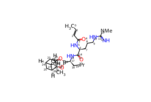 C/C=C/C(=O)N[C@@H](CCCNC(=N)NC)C(=O)N[C@@H](CC(C)C)B1O[C@@H]2C[C@@H]3C[C@@H](C3(C)C)[C@]2(C)O1